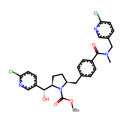 CN(Cc1ccc(Cl)nc1)C(=O)c1ccc(C[C@@H]2CC[C@H]([C@H](O)c3ccc(Cl)nc3)N2C(=O)OC(C)(C)C)cc1